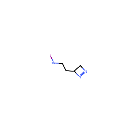 INCCC1CN=N1